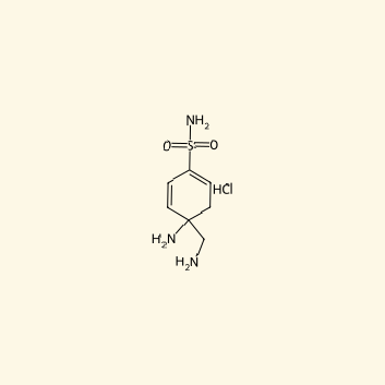 Cl.NCC1(N)C=CC(S(N)(=O)=O)=CC1